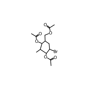 CC(=O)OCC1CC(Br)C(OC(C)=O)C(C)C1OC(C)=O